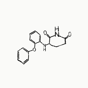 O=C1CCC(Nc2ccccc2Oc2ccccc2)C(=O)N1